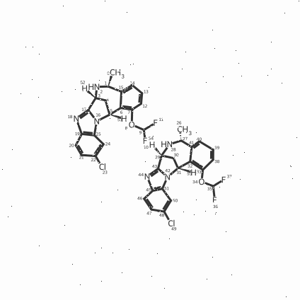 C[C@@H]1N[C@@H]2C[C@H](c3c(OC(F)F)cccc31)n1c2nc2ccc(Cl)cc21.C[C@H]1N[C@@H]2C[C@H](c3c(OC(F)F)cccc31)n1c2nc2ccc(Cl)cc21